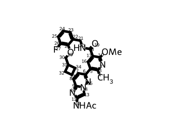 COc1nc(C)c(-c2ccc3nc(NC(C)=O)cn3n2)cc1C(=O)NCc1cccc(F)c1OCC1CCC1